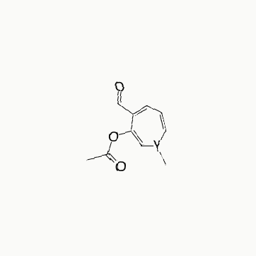 CC(=O)OC1=[CH][Y]([CH3])[CH]=CC=C1C=O